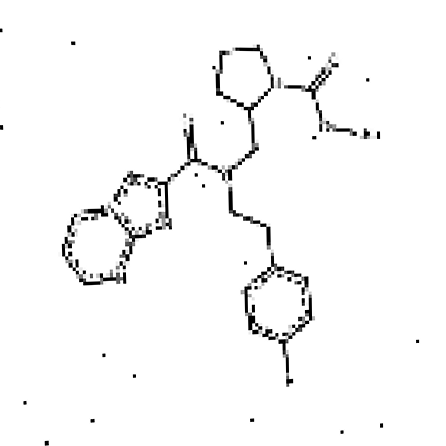 CC(C)(C)OC(=O)N1CCCC1CN(CCc1ccc(F)cc1)C(=O)c1cn2cccnc2n1